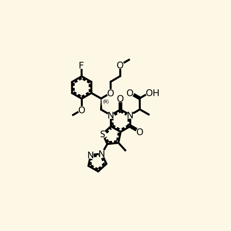 COCCO[C@@H](Cn1c(=O)n(C(C)C(=O)O)c(=O)c2c(C)c(-n3cccn3)sc21)c1cc(F)ccc1OC